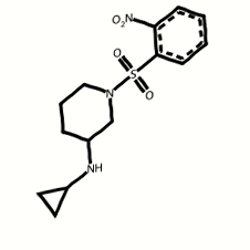 O=[N+]([O-])c1ccccc1S(=O)(=O)N1CCCC(NC2CC2)C1